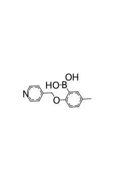 Cc1ccc(OCc2ccncc2)c(B(O)O)c1